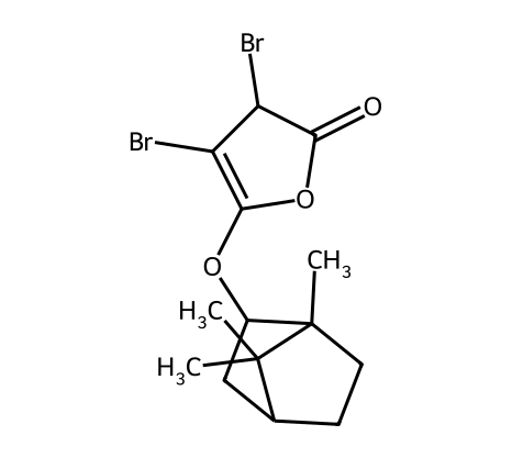 CC1(C)C2CCC1(C)C(OC1=C(Br)C(Br)C(=O)O1)C2